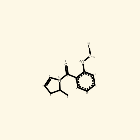 CC1CC=CN1C(=O)c1ccccc1OSF